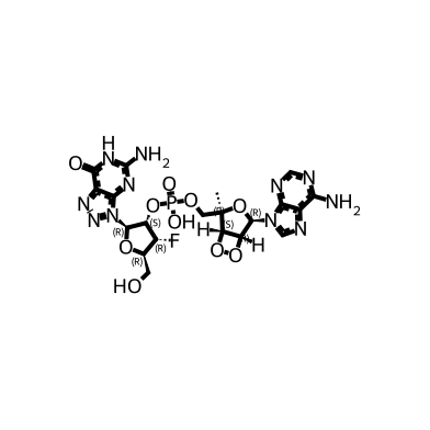 C[C@]1(COP(=O)(O)O[C@@H]2[C@H](F)[C@@H](CO)O[C@H]2n2nnc3c(=O)[nH]c(N)nc32)O[C@@H](n2cnc3c(N)ncnc32)[C@@H]2OO[C@@H]21